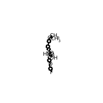 CC(C)Oc1ccc(-c2ccc3sc(C(=O)N[C@@H](Cc4ccc(OCc5ccc(F)cc5)cc4)C(=O)O)cc3c2)cc1